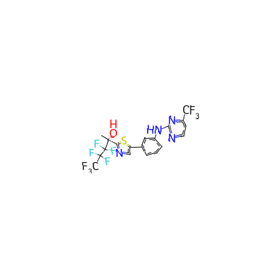 CC(O)(c1ncc(-c2cccc(Nc3nccc(C(F)(F)F)n3)c2)s1)C(F)(F)C(F)(F)C(F)(F)F